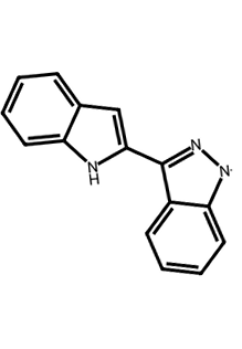 c1ccc2c(c1)[N]N=C2c1cc2ccccc2[nH]1